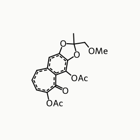 COCC1(C)Oc2cc3cccc(OC(C)=O)c(=O)c3c(OC(C)=O)c2O1